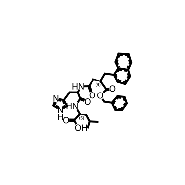 CC(C)C[C@H](NC(=O)C(Cc1c[nH]cn1)NC(=O)C[C@@H](Cc1cccc2ccccc12)C(=O)OCc1ccccc1)C(=O)O